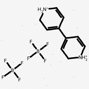 C1=CC(C2=CC[NH2+]C=C2)=CC[NH2+]1.F[B-](F)(F)F.F[B-](F)(F)F